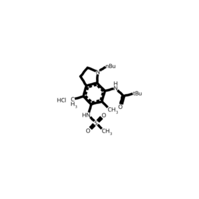 CCCCN1CCc2c(C)c(NS(C)(=O)=O)c(C)c(NC(=O)C(C)(C)C)c21.Cl